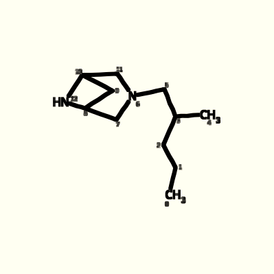 CCCC(C)CN1CC2CC(C1)N2